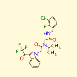 CC(C)N(CC(=O)NCc1cccc(Cl)c1F)C(=O)Cn1cc(C(=O)C(F)(F)F)c2ccccc21